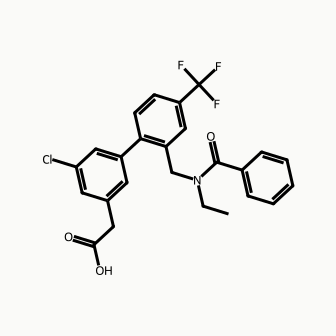 CCN(Cc1cc(C(F)(F)F)ccc1-c1cc(Cl)cc(CC(=O)O)c1)C(=O)c1ccccc1